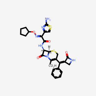 Nc1nc(C(=NOC2CCCC2)C(=O)N[C@@H]2C(=O)N3C(C(=O)O)=C(C(=C4CNC4=O)c4ccccc4)CS[C@H]23)cs1